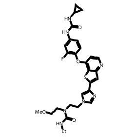 CCNC(=O)N(CCOC)CCn1cnc(-c2cc3nccc(Oc4ccc(NC(=O)NC5CC5)cc4F)c3s2)c1